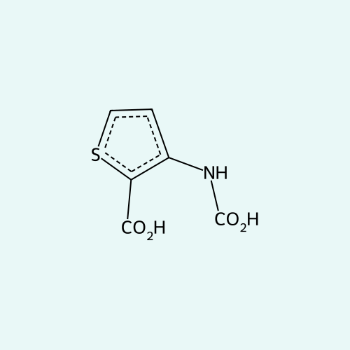 O=C(O)Nc1ccsc1C(=O)O